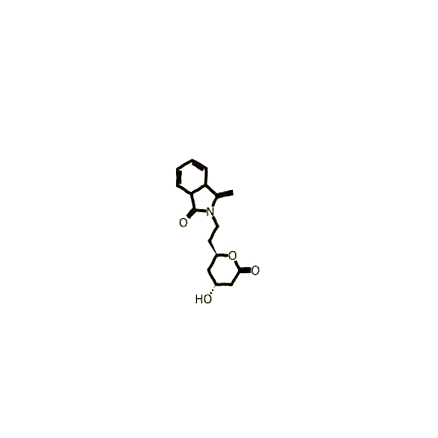 C=C1C2C=CC=CC2C(=O)N1CC[C@@H]1C[C@@H](O)CC(=O)O1